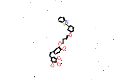 COc1ccc(/C=C\c2cc(OC)c(OC)c(OC)c2)cc1OCCCCOc1cccc(-c2nc3ccccc3s2)c1